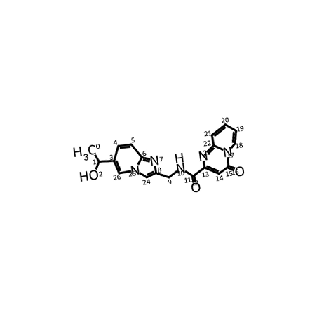 CC(O)c1ccc2nc(CNC(=O)c3cc(=O)n4ccccc4n3)cn2c1